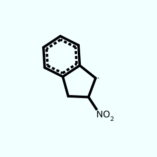 O=[N+]([O-])C1[CH]c2ccccc2C1